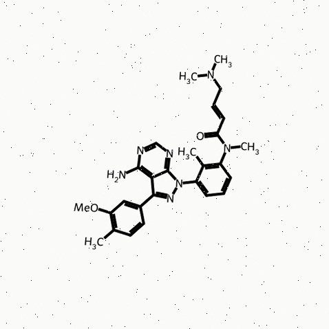 COc1cc(-c2nn(-c3cccc(N(C)C(=O)/C=C/CN(C)C)c3C)c3ncnc(N)c23)ccc1C